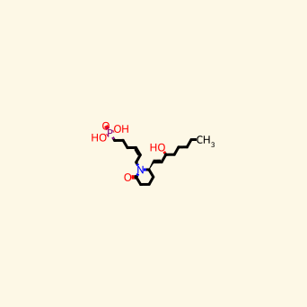 CCCCCC(O)/C=C/[C@H]1CCCC(=O)N1C/C=C\CCCP(=O)(O)O